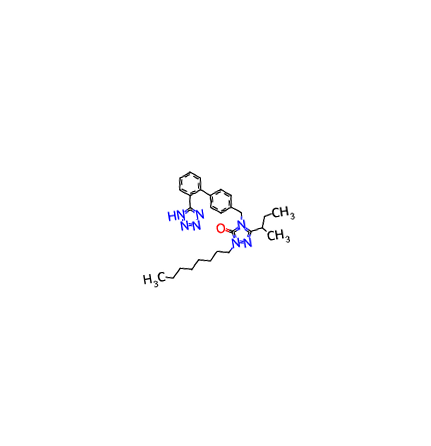 CCCCCCCCn1nc(C(C)CC)n(Cc2ccc(-c3ccccc3-c3nnn[nH]3)cc2)c1=O